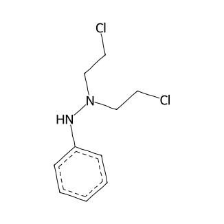 ClCCN(CCCl)Nc1ccccc1